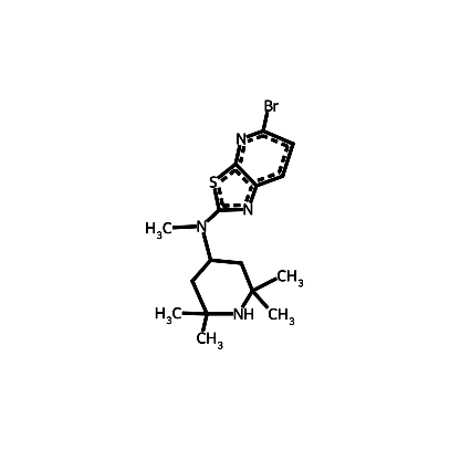 CN(c1nc2ccc(Br)nc2s1)C1CC(C)(C)NC(C)(C)C1